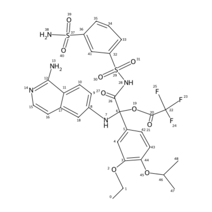 CCOc1cc(C(Nc2ccc3c(N)nccc3c2)(OC(=O)C(F)(F)F)C(=O)NS(=O)(=O)c2cccc(S(N)(=O)=O)c2)ccc1OC(C)C